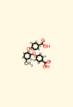 Cc1ccc(Oc2ccc(C(=O)O)cc2)c(Oc2ccc(C(=O)O)cc2)c1